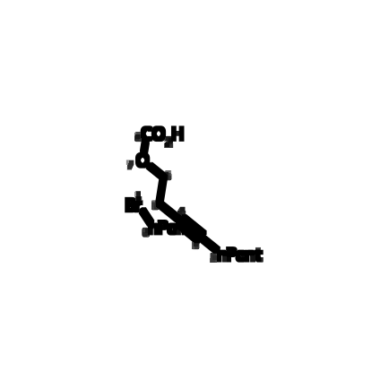 CCCCCBr.CCCCCC#CCCOC(=O)O